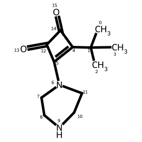 CC(C)(C)c1c(N2CCNCC2)c(=O)c1=O